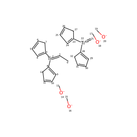 C[CH]=[Ti]([C]1=CC=CC1)[C]1=CC=CC1.C[O-].C[O-].C[O-].C[O-].[CH2]=[Ti+4]([C]1=CC=CC1)[C]1=CC=CC1